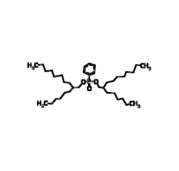 CCCCCCCCC(CCCCCC)COP(=O)(OCC(CCCCCC)CCCCCCCC)c1ccccc1